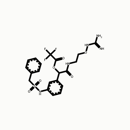 N=C(N)NOCCNC(=O)C(OC(=O)C(F)(F)F)c1cccc(NS(=O)(=O)Cc2ccccc2)c1